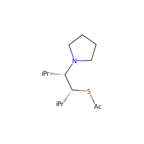 CC(=O)S[C@H](C(C)C)[C@H](C(C)C)N1CCCC1